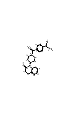 NC(=O)c1ccc(C(=O)N2CCC(N3C(=O)CCc4ccccc43)CC2)cc1